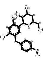 CCOc1ccc(Cc2cc(C3SC(CO)CC(O)C3C)c(OC)cc2C)cc1